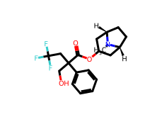 CN1[C@@H]2CC[C@H]1CC(OC(=O)C(CO)(CC(F)(F)F)c1ccccc1)C2